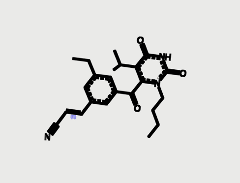 CCCCn1c(C(=O)c2cc(/C=C/C#N)cc(CC)c2)c(C(C)C)c(=O)[nH]c1=O